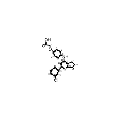 O=C(O)COc1ccc(Nc2cc(-c3cccc(Cl)c3)nc3c2CCC3)cc1